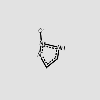 [O-][n+]1n[c]c[nH]1